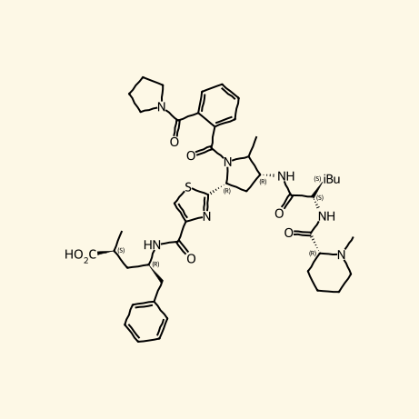 CC[C@H](C)[C@H](NC(=O)[C@H]1CCCCN1C)C(=O)N[C@@H]1C[C@H](c2nc(C(=O)N[C@@H](Cc3ccccc3)C[C@H](C)C(=O)O)cs2)N(C(=O)c2ccccc2C(=O)N2CCCC2)C1C